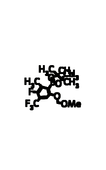 COCOc1cc(C(F)(F)F)c(F)c(C)c1B1OC(C)(C)C(C)(C)O1